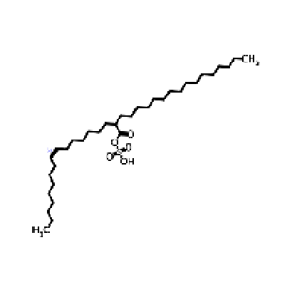 CCCCCCCC/C=C\CCCCCCC(CCCCCCCCCCCCCCCC)C(=O)OS(=O)(=O)O